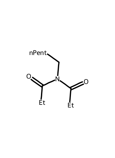 CCCCCCN(C(=O)CC)C(=O)CC